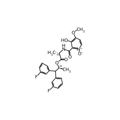 COc1cc[n+]([O-])c(C(=O)N[C@@H](C)C(=O)O[C@@H](C)C(c2cccc(F)c2)c2cccc(F)c2)c1O